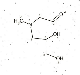 CN(C[C]=O)CC(O)CO